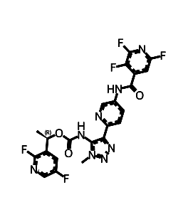 C[C@@H](OC(=O)Nc1c(-c2ccc(NC(=O)c3cc(F)nc(F)c3F)cn2)nnn1C)c1cc(F)cnc1F